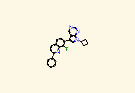 Fc1c(-c2cn(C3CCC3)c3ncncc23)ccc2ccc(-c3ccccc3)nc12